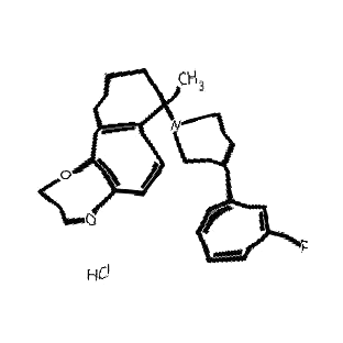 CC1(N2CCC(c3cccc(F)c3)C2)CCCc2c1ccc1c2OCCO1.Cl